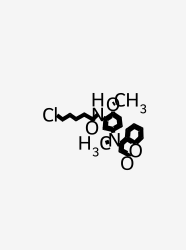 COc1ccc(N(C)c2cc(=O)oc3ccccc23)cc1NC(=O)CCCCCl